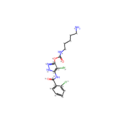 NCCCCCNC(=O)Oc1n[nH]c(NC(=O)c2ccccc2Cl)c1Br